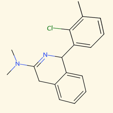 Cc1cccc(C2N=C(N(C)C)Cc3ccccc32)c1Cl